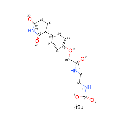 CC(C)(C)OC(=O)NCCNC(=O)COc1ccc(C2CCC(=O)NC2=O)cc1